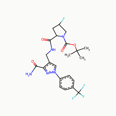 CC(C)(C)OC(=O)N1CC(F)CC1C(=O)NCc1cn(-c2ccc(C(F)(F)F)cc2)nc1C(N)=O